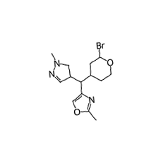 Cc1nc(C(C2C=NN(C)C2)C2CCOC(Br)C2)co1